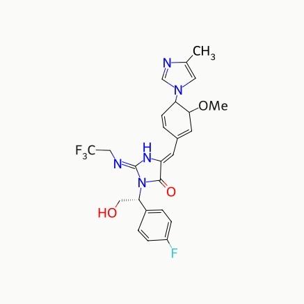 COC1C=C(/C=C2\N/C(=N\CC(F)(F)F)N([C@@H](CO)c3ccc(F)cc3)C2=O)C=CC1n1cnc(C)c1